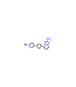 N#Cc1ccc(-c2ccc(-c3cccc4nc(N)nn34)cc2)cn1